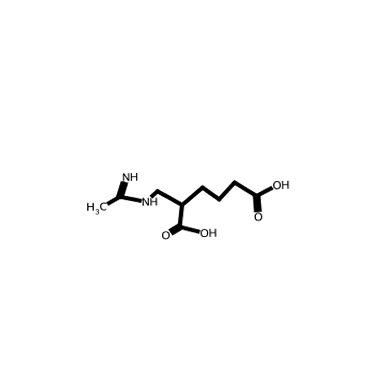 CC(=N)NCC(CCCC(=O)O)C(=O)O